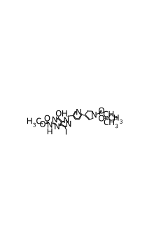 COC(=O)Nc1nc(O)c2c(n1)c(I)nn2Cc1ccc(C2=CCN(C(=O)OC(C)(C)C)CC2)nc1